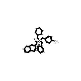 Cc1ccc(C[N+](Cc2ccccc2)(CC2CC[CH]CC2)S(=O)(=O)c2ccc3ccccc3c2)cc1